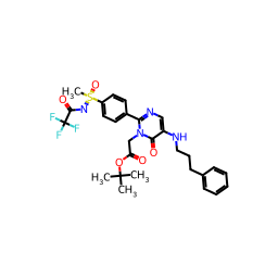 CC(C)(C)OC(=O)Cn1c(-c2ccc(S(C)(=O)=NC(=O)C(F)(F)F)cc2)ncc(NCCCc2ccccc2)c1=O